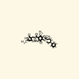 CSc1cc(C)[nH]c(=O)c1CNC(=O)c1cc(Cl)c2c(c1C)O[C@](C)([C@H]1CC[C@H](c3ccccn3)CC1)O2